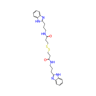 O=C(CCSSCCC(=O)NCCCc1nc2ccccc2[nH]1)NCCCc1nc2ccccc2[nH]1